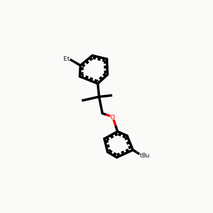 CCc1cccc(C(C)(C)COc2cccc(C(C)(C)C)c2)c1